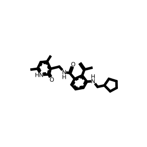 C=C(C)c1c(NCC2CCCC2)cccc1C(=O)NCc1c(C)cc(C)[nH]c1=O